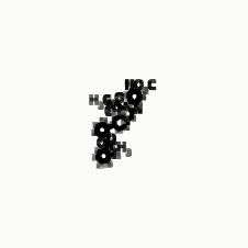 CN(C)C(=O)Cn1c(CN2CCC(c3cccc4c3OC(C)(c3ccccc3F)O4)CC2)nc2ccc(C(=O)O)cc21